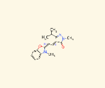 CC(C)C1=NN(C)C(=O)/C1=C/C=C1/Oc2ccccc2N1C